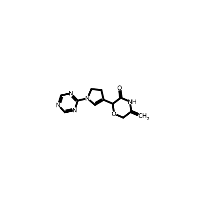 C=C1COC(C2=CN(c3ncncn3)CC2)C(=O)N1